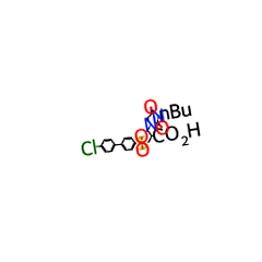 CCCCN1C(=O)CN(CC(CS(=O)(=O)c2ccc(-c3ccc(Cl)cc3)cc2)C(=O)O)C1=O